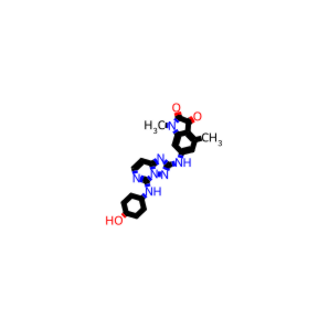 Cc1cc(Nc2nc3ccnc(NC4CCC(O)CC4)n3n2)cc2c1C(=O)C(=O)N2C